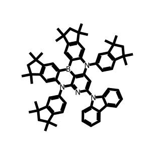 CC1(C)CC(C)(C)c2cc(N3c4cc5c(cc4B4c6cc7c(cc6N(c6ccc8c(c6)C(C)(C)CC8(C)C)c6nc(-n8c9ccccc9c9ccccc98)cc3c64)C(C)(C)CC7(C)C)C(C)(C)CC5(C)C)ccc21